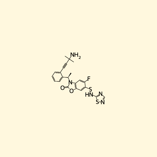 C[C@H](c1ccccc1C#CC(C)(C)N)n1c(=O)oc2cc(SNc3ncns3)c(F)cc21